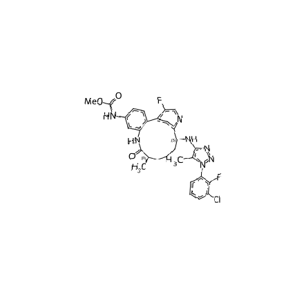 COC(=O)Nc1ccc2c(c1)NC(=O)[C@H](C)CCC[C@H](Nc1nnn(-c3cccc(Cl)c3F)c1C)c1cc-2c(F)cn1